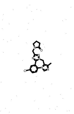 Cc1ncn2c1Cn1nc(CN3CCCC3=O)nc1-c1cc(Cl)ccc1-2